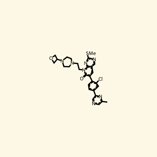 CSc1ncc2cc(-c3ccc(-c4cncc(C)n4)cc3Cl)c(=O)n(CCN3CCN(C4COC4)CC3)c2n1